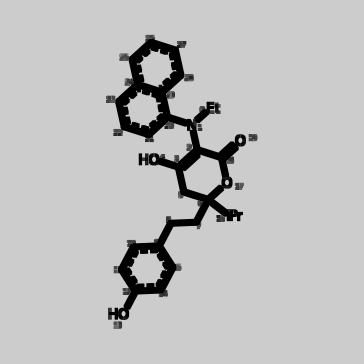 CCN(C1=C(O)CC(CCc2ccc(O)cc2)(C(C)C)OC1=O)c1cccc2ccccc12